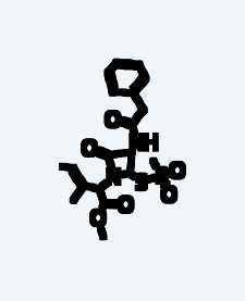 CC=C(C)C(C(=O)OC)N1C(=O)C(NC(=O)Cc2ccccc2)C1SS(C)(=O)=O